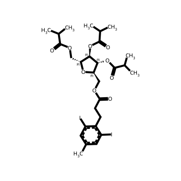 Cc1cc(I)c(CCC(=O)OC[C@H]2O[C@H](COC(=O)C(C)C)[C@@H](OC(=O)C(C)C)[C@@H]2OC(=O)C(C)C)c(I)c1